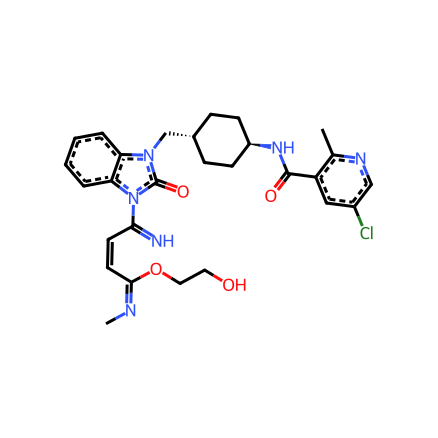 C/N=C(\C=C/C(=N)n1c(=O)n(C[C@H]2CC[C@H](NC(=O)c3cc(Cl)cnc3C)CC2)c2ccccc21)OCCO